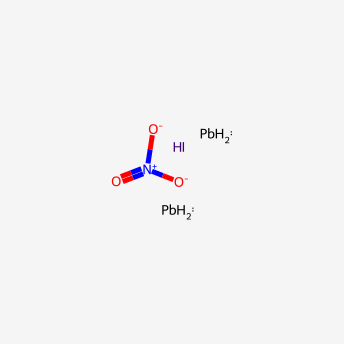 I.O=[N+]([O-])[O-].[PbH2].[PbH2]